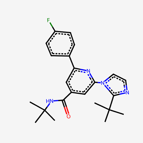 CC(C)(C)NC(=O)c1cc(-c2ccc(F)cc2)nc(-n2ccnc2C(C)(C)C)c1